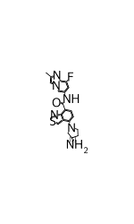 Cc1cn2cc(NC(=O)c3ccc(N4CC[C@H](N)C4)c4csnc34)cc(F)c2n1